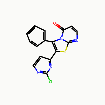 O=c1ccnc2sc(-c3ccnc(Cl)n3)c(-c3ccccc3)n12